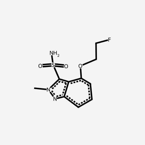 Cn1nc2cccc(OCCF)c2c1S(N)(=O)=O